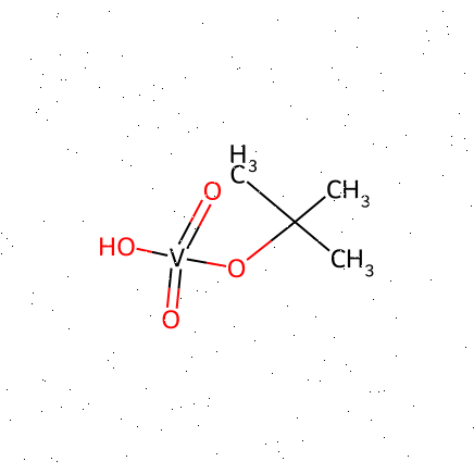 CC(C)(C)[O][V](=[O])(=[O])[OH]